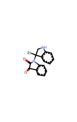 CCC1(N2C(=O)C(=O)c3ccccc32)CNc2ccccc21